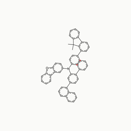 CC1(C)c2ccccc2-c2cccc(-c3ccc(N(c4ccc5oc6ccccc6c5c4)c4cc(-c5cccc6ccccc56)ccc4-c4ccccc4)cc3)c21